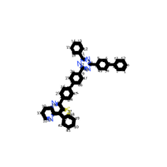 c1ccc(-c2ccc(-c3nc(-c4ccccc4)nc(-c4ccc(-c5ccc(-c6nc7cccnc7c7c6sc6ccccc67)cc5)cc4)n3)cc2)cc1